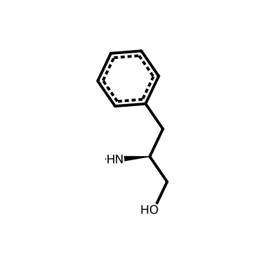 [NH][C@H](CO)Cc1ccccc1